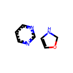 C1=COCN1.c1cncnc1